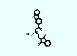 O=C(C[C@H](CCN1C(=O)c2ccccc2C1=O)C(=O)O)c1ccc2c3c(oc2c1)CCC3